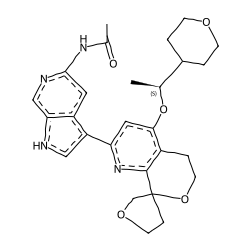 CC(=O)Nc1cc2c(-c3cc(O[C@@H](C)C4CCOCC4)c4c(n3)C3(CCOC3)OCC4)c[nH]c2cn1